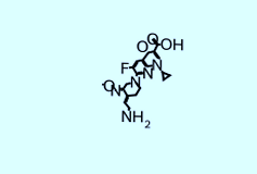 CON=C1CN(c2nc3c(cc2F)c(=O)c(C(=O)O)cn3C2CC2)CCC1=CCN